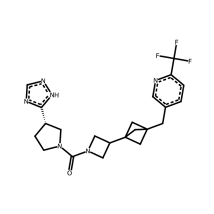 O=C(N1CC(C23CC(Cc4ccc(C(F)(F)F)nc4)(C2)C3)C1)N1CC[C@H](c2ncn[nH]2)C1